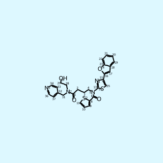 O=C(CCCN(C(=O)c1cccs1)c1nc(-c2cc3ccccc3o2)cs1)N(CCO)Cc1ccncc1